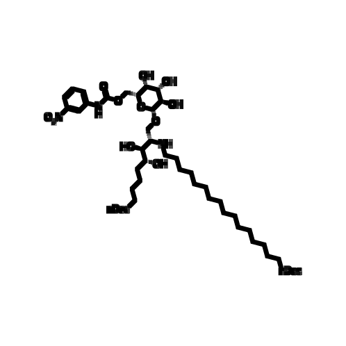 CCCCCCCCCCCCCCCCCCCCCCCCCCN[C@@H](CO[C@@H]1O[C@H](COC(=O)Nc2cccc([N+](=O)[O-])c2)[C@H](O)[C@H](O)[C@H]1O)[C@H](O)[C@H](O)CCCCCCCCCCCCCC